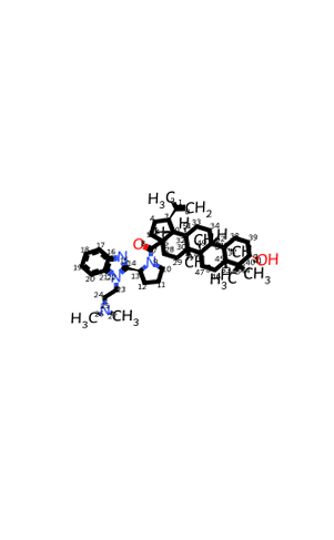 C=C(C)[C@@H]1CCC2(C(=O)N3CCC[C@H]3c3nc4ccccc4n3CCN(C)C)CCC3(C)[C@H](CC[C@@H]4[C@@]5(C)CC[C@H](O)C(C)(C)[C@@H]5CC[C@]43C)[C@@H]12